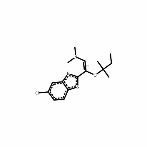 CCC(C)(C)O/C(=C/N(C)C)c1nc2cc(Cl)ccc2s1